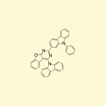 c1ccc(-n2c3ccccc3c3ccc(-c4nc(-n5c6ccccc6c6ccccc65)c5c(n4)oc4ccccc45)cc32)cc1